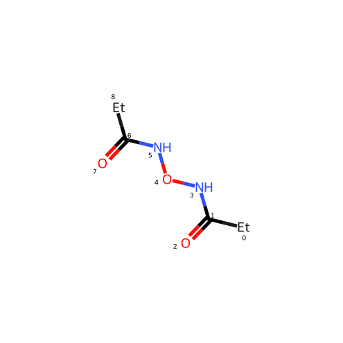 CCC(=O)NONC(=O)CC